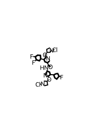 O=C(Nc1cnc(O[C@H]2CCN(Cl)C2)c(-c2ccc(F)cc2)c1)c1cnc(O[C@H]2CCN(Cl)C2)c(-c2ccc(F)c(F)c2)c1